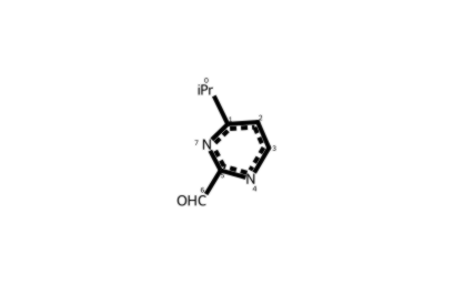 CC(C)c1ccnc(C=O)n1